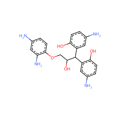 Nc1ccc(OCC(O)C(c2cc(N)ccc2O)c2cc(N)ccc2O)c(N)c1